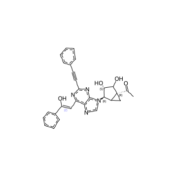 CC(=O)[C@]12CC1[C@@H](n1cnc3c(/C=C(\O)c4ccccc4)nc(C#Cc4ccccc4)nc31)[C@H](O)C2O